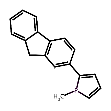 Cp1cccc1-c1[c]c2c(cc1)-c1ccccc1C2